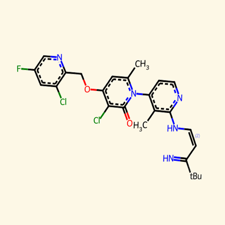 Cc1c(-n2c(C)cc(OCc3ncc(F)cc3Cl)c(Cl)c2=O)ccnc1N/C=C\C(=N)C(C)(C)C